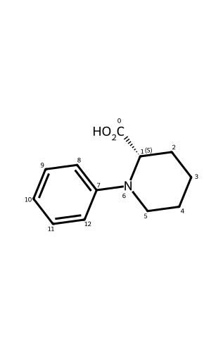 O=C(O)[C@@H]1CCCCN1c1ccccc1